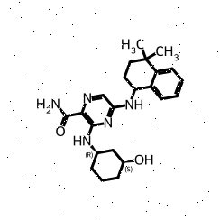 CC1(C)CCC(Nc2cnc(C(N)=O)c(N[C@@H]3CCC[C@H](O)C3)n2)c2ccccc21